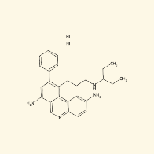 CCC(CC)NCCCc1c(-c2ccccc2)cc(N)c2cnc3ccc(N)cc3c12.I.I